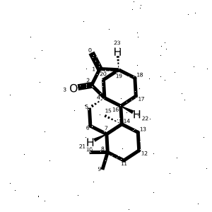 C=C1C(=O)[C@]23CC[C@H]4C(C)(C)CCC[C@]4(C)[C@H]2CC[C@H]1C3